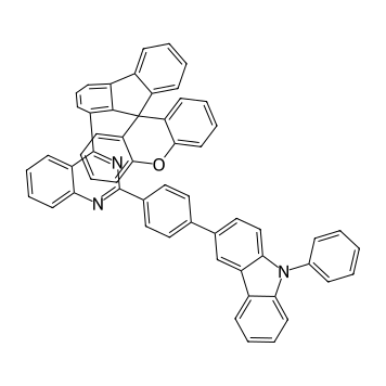 c1ccc(-n2c3ccccc3c3cc(-c4ccc(-c5nc(-c6cccc7c6C6(c8ccccc8Oc8ccccc86)c6ccccc6-7)c6ccccc6n5)cc4)ccc32)cc1